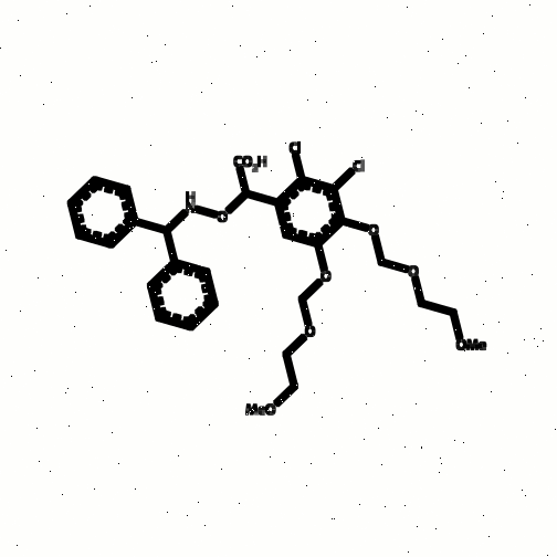 COCCOCOc1cc(C(ONC(c2ccccc2)c2ccccc2)C(=O)O)c(Cl)c(Cl)c1OCOCCOC